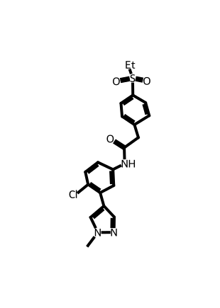 CCS(=O)(=O)c1ccc(CC(=O)Nc2ccc(Cl)c(-c3cnn(C)c3)c2)cc1